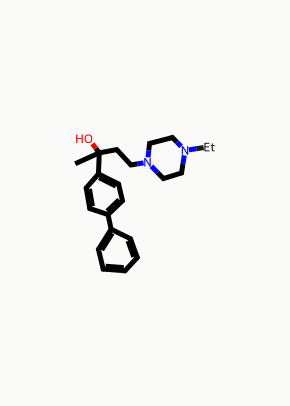 CCN1CCN(CCC(C)(O)c2ccc(-c3ccccc3)cc2)CC1